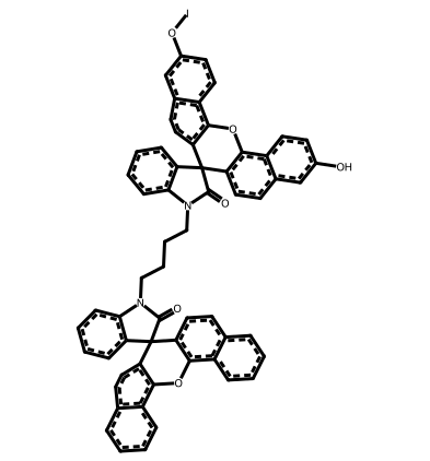 O=C1N(CCCCN2C(=O)C3(c4ccccc42)c2ccc4cc(O)ccc4c2Oc2c3ccc3cc(OI)ccc23)c2ccccc2C12c1ccc3ccccc3c1Oc1c2ccc2ccccc12